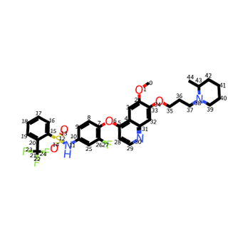 COc1cc2c(Oc3ccc(NS(=O)(=O)c4ccccc4C(F)(F)F)cc3F)ccnc2cc1OCCCN1CCCCC1C